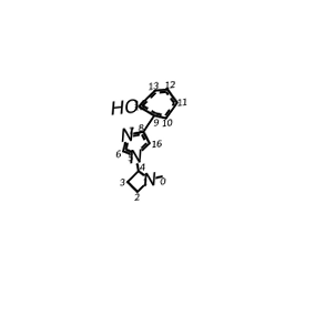 CN1CCC1n1cnc(-c2ccccc2O)c1